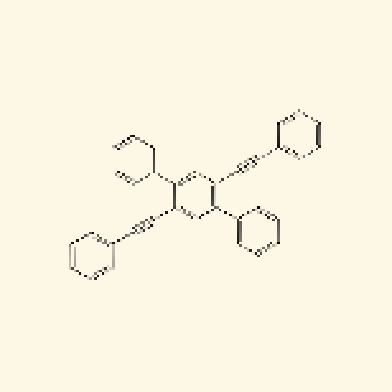 C(#Cc1cc(-c2ccccc2)c(C#Cc2ccccc2)cc1-c1ccccc1)c1ccccc1